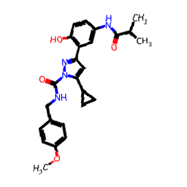 COc1ccc(CNC(=O)n2nc(-c3cc(NC(=O)C(C)C)ccc3O)cc2C2CC2)cc1